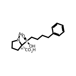 CC(=O)N1CCC[C@]1(C(=O)O)P(=O)(O)CCCCc1ccccc1